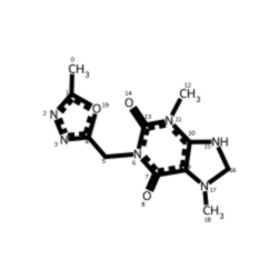 Cc1nnc(Cn2c(=O)c3c(n(C)c2=O)NCN3C)o1